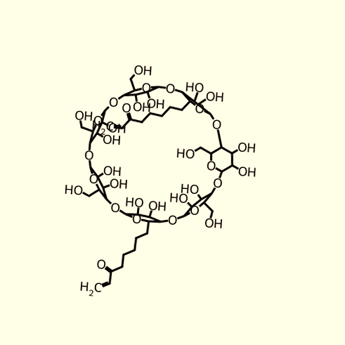 C=CC(=O)CCCCCC1OC2OC3C(CO)OC(OC4C(CO)OC(OC5C(CCCCCC(=O)C=C)OC(OC6C(CO)OC(OC7C(CO)OC(OC8C(CO)OC(OC1C(O)C2O)C(O)C8O)C(O)C7O)C(O)C6O)C(O)C5O)C(O)C4O)C(O)C3O